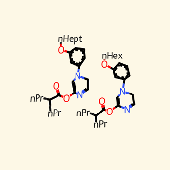 CCCCCCCOc1cccc(N2C=C(OC(=O)C(CCC)CCC)N=CC2)c1.CCCCCCOc1cccc(N2C=C(OC(=O)C(CCC)CCC)N=CC2)c1